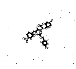 O=C(N[C@@H](Cc1ccc([N+](=O)[O-])cc1)C(=O)N[C@@H](Cc1ccc(F)cc1)C(=O)O)OCc1ccc(Br)cc1